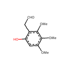 COc1cc(O)c(CC=O)c(OC)c1OC